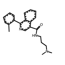 Cc1ccccc1-c1ncc(C(=O)NCCCN(C)C)c2ccccc12